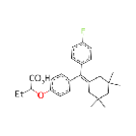 CCC(Oc1ccc(C(=C2CC(C)(C)CC(C)(C)C2)c2ccc(F)cc2)cc1)C(=O)O